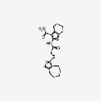 NC(=O)c1c(NC(=O)CSc2nnc3n2CCCCC3)sc2c1CCCC2